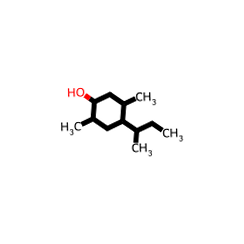 CCC(C)C1CC(C)C(O)CC1C